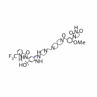 COc1ccc(C(=O)N2CCC3(CCN(CCN4CCC(N/C=C5/C=C(NC(=O)C6=CC=CC(C(F)(F)F)N6)C(C(C)(C)O)=CC5=N)CC4)CC3)CC2)cc1N1CCC(=O)NC1=O